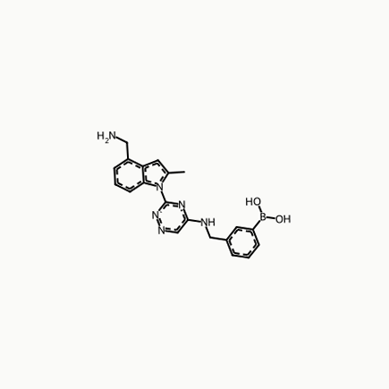 Cc1cc2c(CN)cccc2n1-c1nncc(NCc2cccc(B(O)O)c2)n1